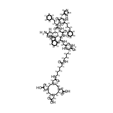 N=C(N)NCCC[C@H](NC(=O)[C@@H](CCc1ccccc1)NC(=O)[C@H](Cc1cnc[nH]1)NC(=O)CCCc1ccccc1)C(=O)N[C@@H](Cc1c[nH]c2ccccc12)C(=O)NCC(=O)N[C@@H](CCCCNC(=O)CCCCCNC(=O)CN1CCN(CC(=O)O)CCN(CC(=O)O)CCN(CC(=O)O)CC1)C(N)=O